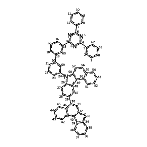 c1ccc(-c2nc(-c3ccccc3)nc(-c3cccc(-c4cccc(-n5c6ccc(-c7cc8sc9ccccc9c8c8ccccc78)cc6c6c7ccccc7ccc65)c4)c3)n2)cc1